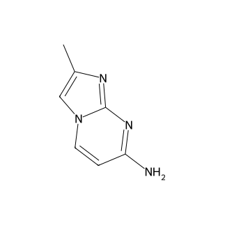 Cc1cn2ccc(N)nc2n1